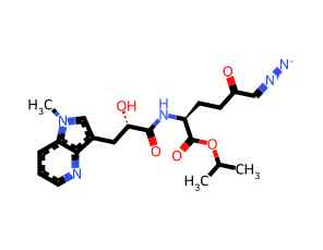 CC(C)OC(=O)[C@H](CCC(=O)C=[N+]=[N-])NC(=O)[C@@H](O)Cc1cn(C)c2cccnc12